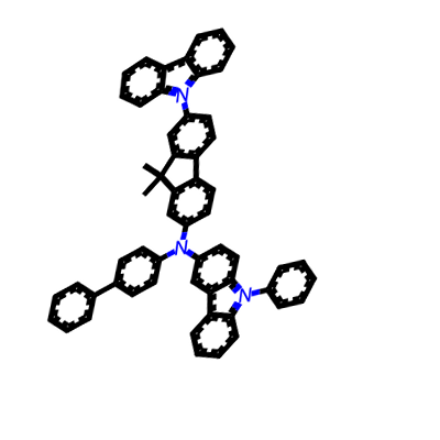 CC1(C)c2cc(N(c3ccc(-c4ccccc4)cc3)c3ccc4c(c3)c3ccccc3n4-c3ccccc3)ccc2-c2ccc(-n3c4ccccc4c4ccccc43)cc21